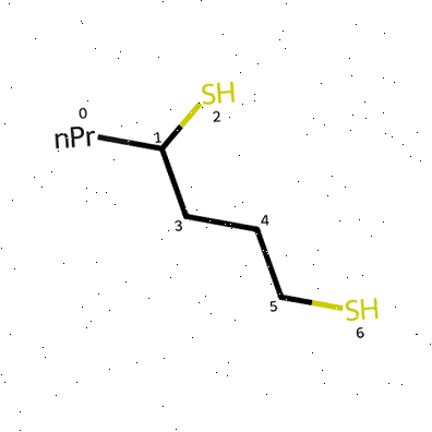 [CH2]CCC(S)CCCS